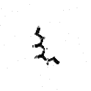 C=CBC(=O)OC(=O)BC=C